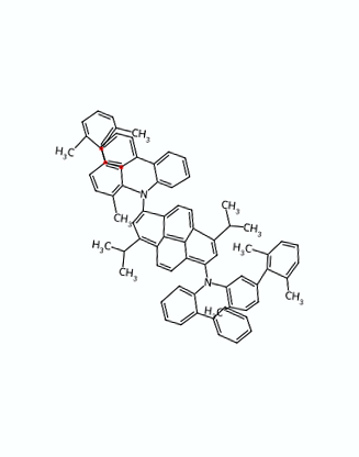 Cc1ccc(-c2c(C)cccc2C)cc1N(c1ccccc1-c1ccccc1)c1cc(C(C)C)c2ccc3c(N(c4cc(-c5c(C)cccc5C)ccc4C)c4ccccc4-c4ccccc4)cc(C(C)C)c4ccc1c2c43